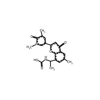 Cc1cc(C(C)NC(=O)O)c2oc(-c3cc(C)c(=O)n(C)c3)cc(=O)c2c1